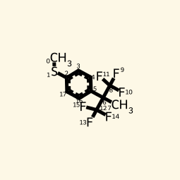 CSc1ccc(C(C)(C(F)(F)F)C(F)(F)F)cc1